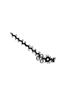 CCCCCCCCC=CCCCCCCCC(=O)OC(=O)c1ccc(N(C)C)cc1